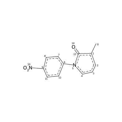 Cc1cccn(-c2ccc([N+](=O)[O-])cc2)c1=O